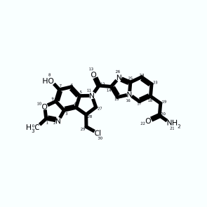 Cc1nc2c3c(cc(O)c2o1)N(C(=O)c1cn2cc(CC(N)=O)ccc2n1)CC3CCl